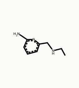 CCNCc1cccc(N)n1